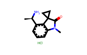 C[C@@H](N)c1cccc2c1C1(CC1)C(=O)N2C.Cl